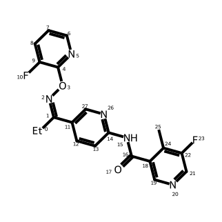 CCC(=NOc1ncccc1F)c1ccc(NC(=O)c2cncc(F)c2C)nc1